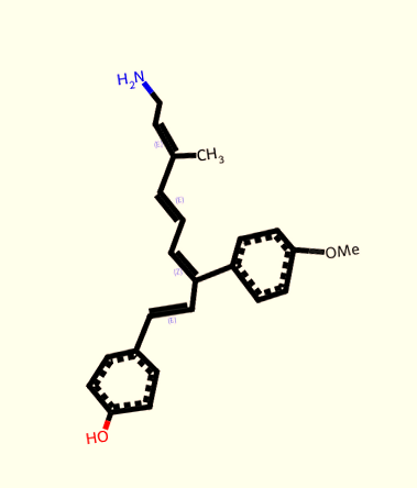 COc1ccc(C(=C\C=C\C(C)=C\CN)/C=C/c2ccc(O)cc2)cc1